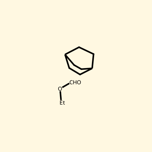 C1CC2CCC1CC2.CCOC=O